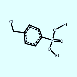 CCOP(=O)(OCC)c1ccc(CCl)cc1